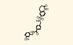 O=C1CCCc2cc(S(=O)(=O)NCc3ccc(C(=O)NCc4cccc(O)c4)cc3)ccc2N1